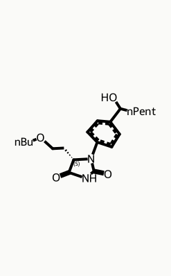 CCCCCC(O)c1ccc(N2C(=O)NC(=O)[C@@H]2CCOCCCC)cc1